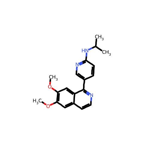 COc1cc2ccnc(-c3ccc(NC(C)C)nc3)c2cc1OC